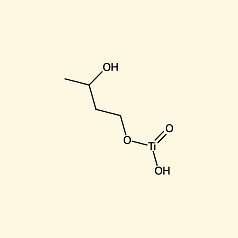 CC(O)CC[O][Ti](=[O])[OH]